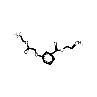 C=CCOC(=O)c1cccc(OCC(=O)OCC)c1